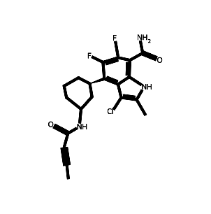 CC#CC(=O)NC1CCC[C@@H](c2c(F)c(F)c(C(N)=O)c3[nH]c(C)c(Cl)c23)C1